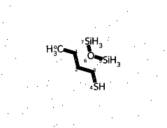 CCCCS.[SiH3]O[SiH3]